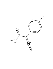 COC(=O)C(=[N+]=[N-])c1ccc(C)cc1